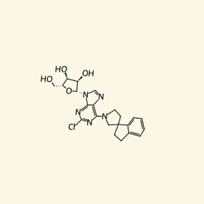 OC[C@H]1O[C@@H](n2cnc3c(N4CCC5(CCc6ccccc65)C4)nc(Cl)nc32)[C@H](O)[C@@H]1O